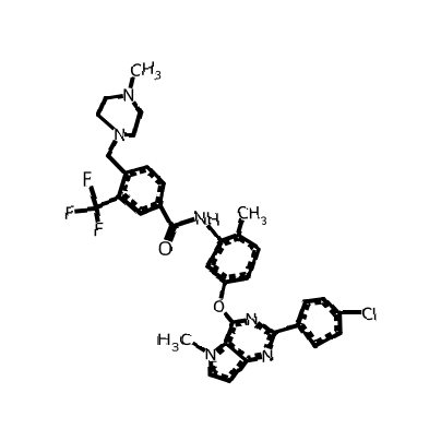 Cc1ccc(Oc2nc(-c3ccc(Cl)cc3)nc3ccn(C)c23)cc1NC(=O)c1ccc(CN2CCN(C)CC2)c(C(F)(F)F)c1